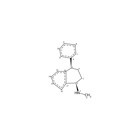 CN[C@@H]1CC[C@H](c2ccccc2)c2ccccc21